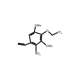 C=Cc1cc(OC)c(OCC(F)(F)F)c(OC)c1[N+](=O)[O-]